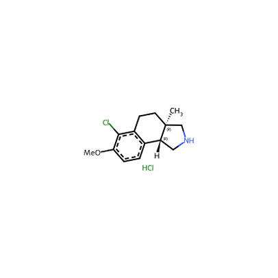 COc1ccc2c(c1Cl)CC[C@@]1(C)CNC[C@H]21.Cl